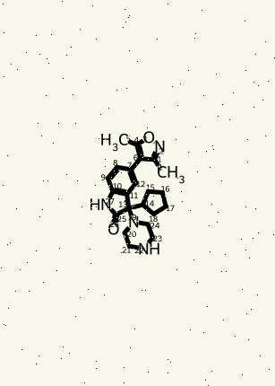 Cc1noc(C)c1-c1ccc2c(c1)C(C1CCCC1)(N1CCNCC1)C(=O)N2